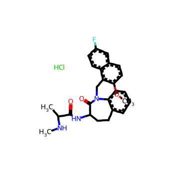 CNC(C)C(=O)NC1CCc2ccccc2N(Cc2c(OC)ccc3cc(F)ccc23)C1=O.Cl